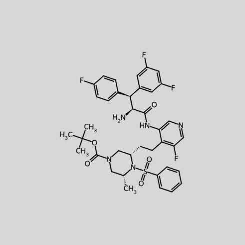 C[C@@H]1CN(C(=O)OC(C)(C)C)C[C@H](CCc2c(F)cncc2NC(=O)[C@@H](N)[C@@H](c2ccc(F)cc2)c2cc(F)cc(F)c2)N1S(=O)(=O)c1ccccc1